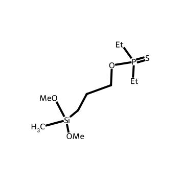 CCP(=S)(CC)OCCC[Si](C)(OC)OC